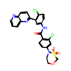 O=C(Nc1ccc(Cl)c(-c2ccc3ncccc3n2)c1)c1ccc(N2CCOCS2(=O)=O)cc1Cl